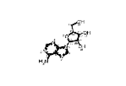 Nc1ncnc2c1ncn2[C@H]1O[C@@H](CO)[C@@H](O)[C@H]1O